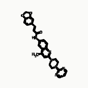 Cc1cc(N2CCN(c3ncccn3)CC2)nc2ccc(NC(=O)C=Cc3ccc4c(c3)OCO4)cc12